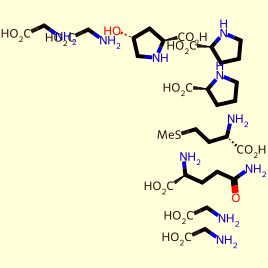 CSCC[C@H](N)C(=O)O.NC(=O)CC[C@H](N)C(=O)O.NCC(=O)O.NCC(=O)O.NCC(=O)O.NCC(=O)O.O=C(O)[C@@H]1CCCN1.O=C(O)[C@@H]1CCCN1.O=C(O)[C@@H]1C[C@@H](O)CN1